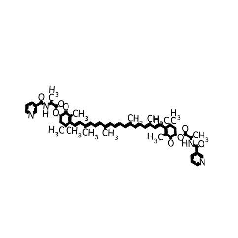 CC1=C(/C=C/C(C)=C/C=C/C(C)=C/C=C/C=C(C)/C=C/C=C(C)/C=C/C2=C(C)C(=O)[C@@H](OC(=O)C(C)NC(=O)c3cccnc3)CC2(C)C)C(C)(C)C[C@H](OC(=O)C(C)NC(=O)c2cccnc2)C1=O